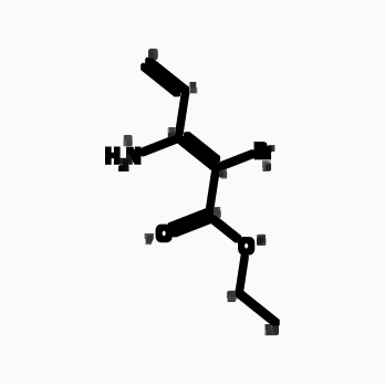 C=CC(N)=C(Br)C(=O)OCC